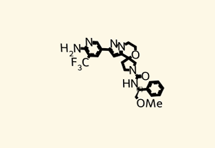 COC[C@@H](NC(=O)N1CCC2(C1)OCCn1nc(-c3cnc(N)c(C(F)(F)F)c3)cc12)c1ccccc1